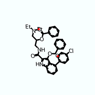 CCN(CC)CC(CNC(=O)c1[nH]c2cccc(-c3ccc(Cl)cc3)c2c1OC(=O)c1ccccc1)OC(=O)c1ccccc1